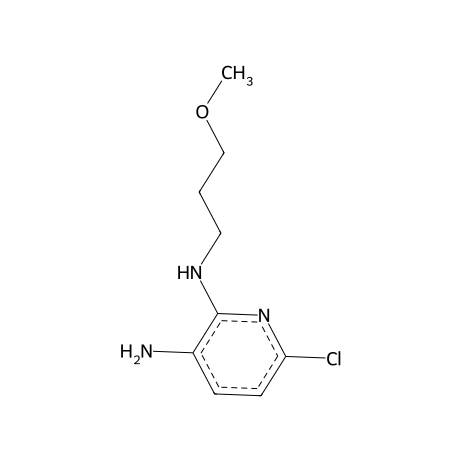 COCCCNc1nc(Cl)ccc1N